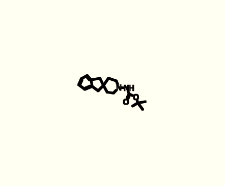 CC(C)(C)OC(=O)NN1CCC2(CC1)Cc1ccccc1C2